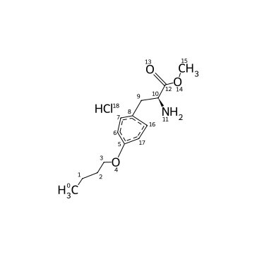 CCCCOc1ccc(C[C@H](N)C(=O)OC)cc1.Cl